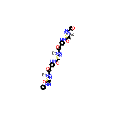 CCn1c(SC(C)C(=O)Nc2ccc(-c3cc(-c4nnc(SC5(C(=O)Nc6ccccc6)CC5)n4CC)co3)cc2)nnc1-c1coc(-c2ccc(NC(=O)C3(Sc4nnc(-c5ccoc5)n4C(C)=O)CC3)cc2)c1